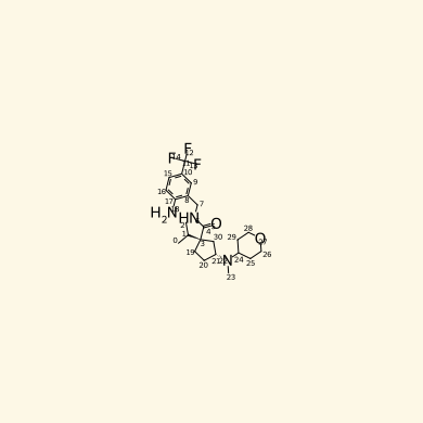 CC(C)[C@]1(C(=O)NCc2cc(C(F)(F)F)ccc2N)CC[C@@H](N(C)C2CCOCC2)C1